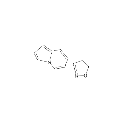 C1=NOCC1.c1ccn2cccc2c1